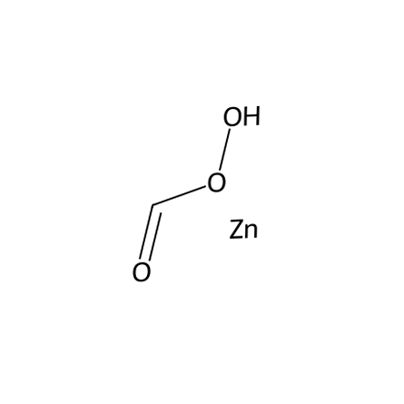 O=COO.[Zn]